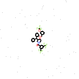 O=C(c1cc(C(F)(F)F)cc(C(F)(F)F)c1)N1CCC(OCc2cccc(OC(F)(F)F)c2)C(C(c2ccccc2)c2ccccc2)C1